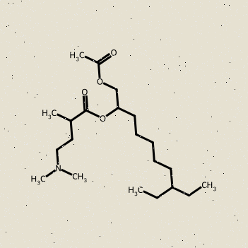 CCC(CC)CCCCCC(COC(C)=O)OC(=O)C(C)CCN(C)C